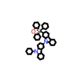 c1ccc(-n2c3ccccc3c3cc(-n4c5ccccc5c5ccc([Si]6(c7ccccc7)c7ccccc7Oc7ccccc76)cc54)ccc32)cc1